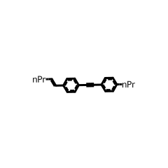 CCC/C=C/c1ccc(C#Cc2ccc(CCC)cc2)cc1